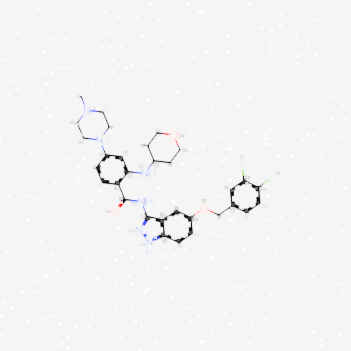 CN1CCN(c2ccc(C(=O)Nc3n[nH]c4ccc(OCc5ccc(F)c(F)c5)cc34)c(NC3CCOCC3)c2)CC1